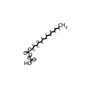 CCCCCCCCCCCCCCOC(=O)OOC(=O)O